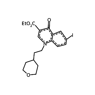 CCOC(=O)c1cn(CCC2CCOCC2)c2ccc(I)cc2c1=O